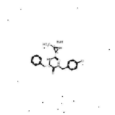 O=C(NCc1ccc(Cl)cc1)[C@H](Cc1ccccc1)NC(=O)[C@H]1N[C@@H]1C(=O)O.[NaH]